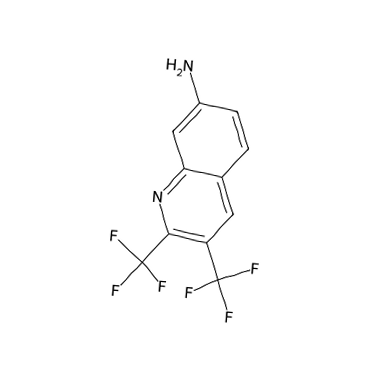 Nc1ccc2cc(C(F)(F)F)c(C(F)(F)F)nc2c1